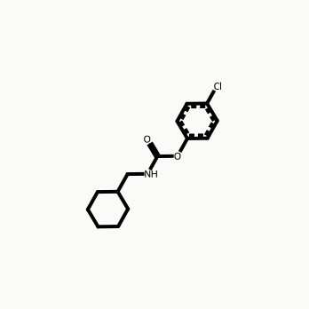 O=C(NCC1CCCCC1)Oc1ccc(Cl)cc1